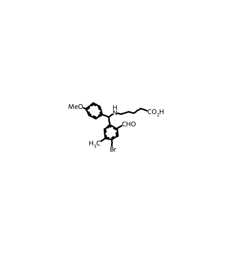 COc1ccc(C(NCCCCC(=O)O)c2cc(C)c(Br)cc2C=O)cc1